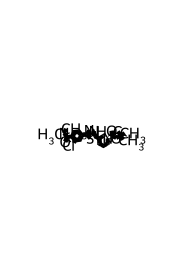 CN(C)C(=O)c1ccc(-c2nnc(C3=CCCN(C(=O)OC(C)(C)C)C3)s2)cc1Cl